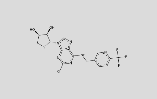 O[C@@H]1[C@H](O)CS[C@H]1n1cnc2c(NCc3ccc(C(F)(F)F)nc3)nc(Cl)nc21